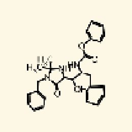 CC1(C)NC(C(O)[C@H](Cc2ccccc2)NC(=O)Oc2ccccc2)C(=O)N1Cc1ccccc1